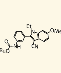 CCn1c(-c2cccc(NC(=O)OCC(C)C)c2)c(C#N)c2ccc(OC)cc21